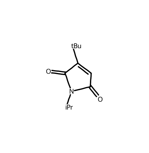 CC(C)N1C(=O)C=C(C(C)(C)C)C1=O